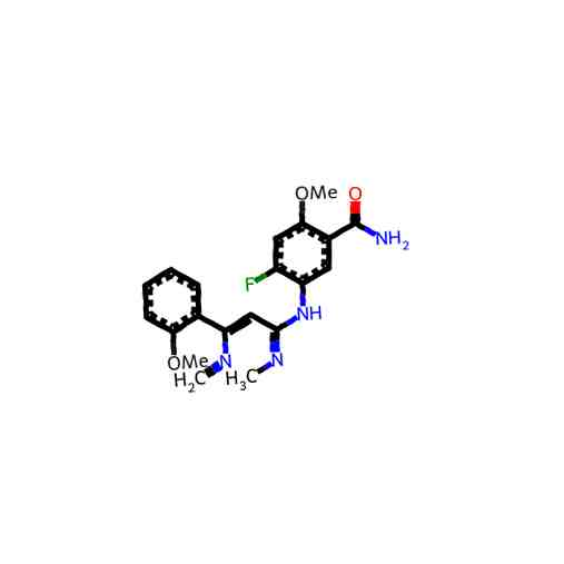 C=N/C(=C\C(=N/C)Nc1cc(C(N)=O)c(OC)cc1F)c1ccccc1OC